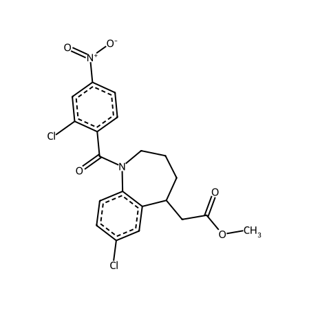 COC(=O)CC1CCCN(C(=O)c2ccc([N+](=O)[O-])cc2Cl)c2ccc(Cl)cc21